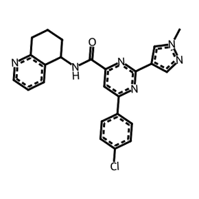 Cn1cc(-c2nc(C(=O)NC3CCCc4ncccc43)cc(-c3ccc(Cl)cc3)n2)cn1